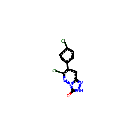 O=c1[nH]nc2cc(-c3ccc(Cl)cc3)c(Cl)nn12